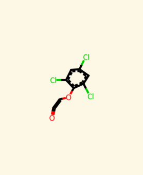 O=C=COc1c(Cl)cc(Cl)cc1Cl